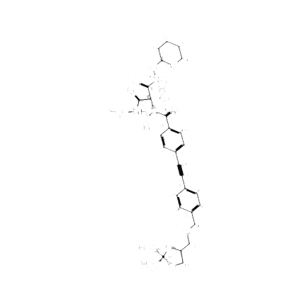 CNC(=O)[C@@](C)(C(=O)NOC1CCCCO1)N(C)C(=O)c1ccc(C#Cc2ccc(COCC3COC(C)(C)O3)cc2)cc1